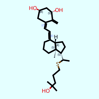 C=C1/C(=C\C=C2/CCC[C@]3(C)[C@@H](C(C)SCCCC(C)(C)O)CC[C@@H]23)C[C@@H](O)C[C@@H]1O